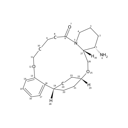 N[C@H]1CCCN2C(=O)CCCCOc3ccccc3[C@H]3CC[C@H](CC3)OC[C@@H]12